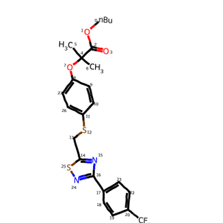 CCCCOC(=O)C(C)(C)Oc1ccc(SCc2nc(-c3ccc(C(F)(F)F)cc3)ns2)cc1